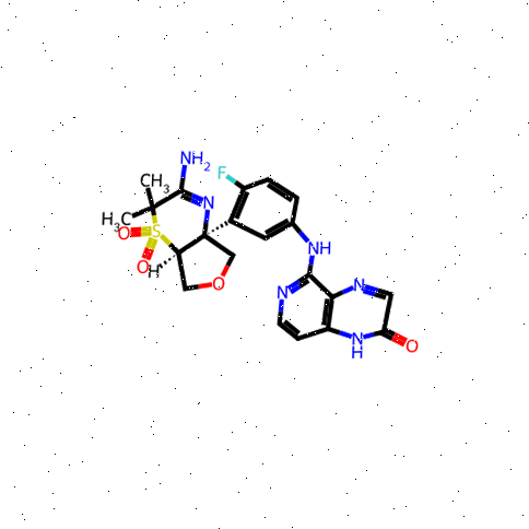 CC1(C)C(N)=N[C@@]2(c3cc(Nc4nccc5[nH]c(=O)cnc45)ccc3F)COC[C@H]2S1(=O)=O